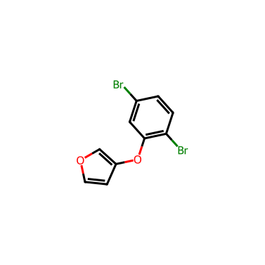 Brc1ccc(Br)c(Oc2ccoc2)c1